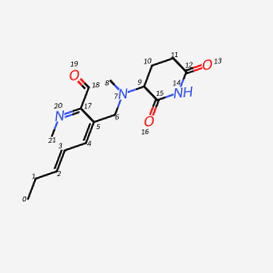 CC/C=C/C=C(CN(C)C1CCC(=O)NC1=O)\C(C=O)=N/C